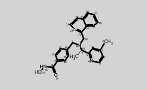 Cc1ccnc([C@H](C)N(Cc2ccc(C(=O)NO)cc2)Cc2nccc3ccccc23)c1